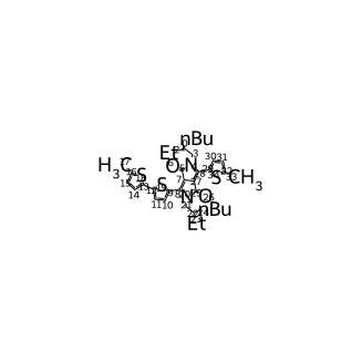 CCCCC(CC)CN1C(=O)C2=C(c3ccc(-c4ccc(C)s4)s3)N(CC(CC)CCCC)C(=O)C2=C1c1ccc(C)s1